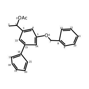 CC(=O)OC(C)c1cc(OCc2ccccc2)cc(-c2ccccc2)c1